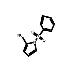 N#Cc1cccn1S(=O)(=O)c1ccccc1